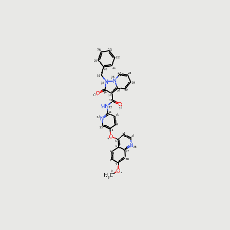 COc1ccc2c(Oc3ccc(NC(=O)c4c(=O)n(Cc5ccccc5)n5ccccc45)nc3)ccnc2c1